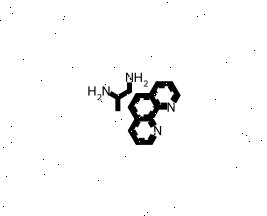 CC(N)CN.c1cnc2c(c1)ccc1cccnc12